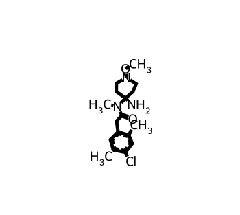 CON1CCC(N)(N(C)C(=O)Cc2cc(C)c(Cl)cc2C)CC1